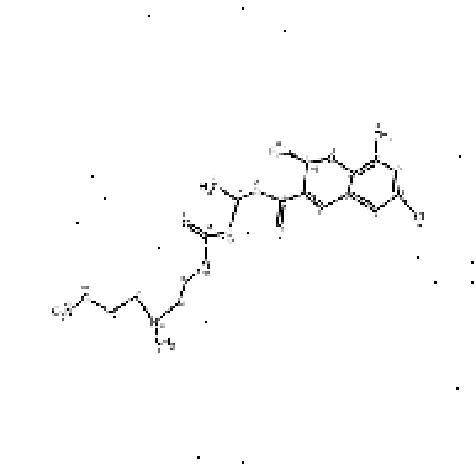 Cc1cc(Cl)cc2c1O[C@H](C(F)(F)F)C(C(=O)OC(C)OC(=O)OCCN(C)CCO[N+](=O)[O-])=C2